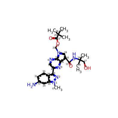 Cn1nc(-c2cnc3c(n2)c(C(=O)NC(C)(C)CO)cn3COC(=O)C(C)(C)C)c2ccc(N)cc21